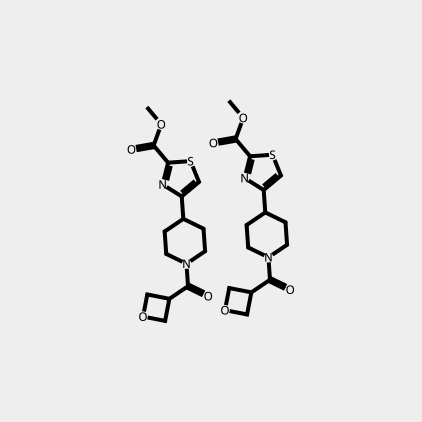 COC(=O)c1nc(C2CCN(C(=O)C3COC3)CC2)cs1.COC(=O)c1nc(C2CCN(C(=O)C3COC3)CC2)cs1